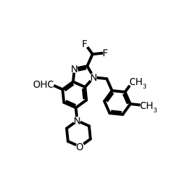 Cc1cccc(Cn2c(C(F)F)nc3c(C=O)cc(N4CCOCC4)cc32)c1C